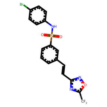 O=S(=O)(Nc1ccc(Br)cc1)c1cccc(C=Cc2noc(C(F)(F)F)n2)c1